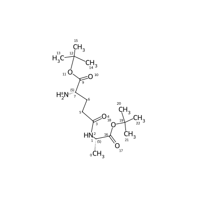 C[C@H](NC(=O)CC[C@H](N)C(=O)OC(C)(C)C)C(=O)OC(C)(C)C